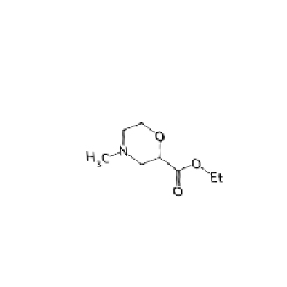 CCOC(=O)C1CN(C)CCO1